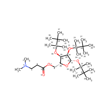 CN(C)CCC(=O)OC[C@H]1O[C@@H](O[Si](C)(C)C(C)(C)C)[C@H](O[Si](C)(C)C(C)(C)C)[C@@H]1O[Si](C)(C)C(C)(C)C